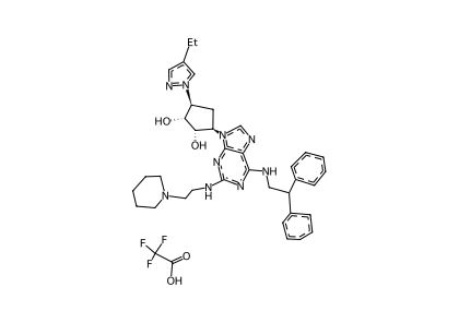 CCc1cnn([C@H]2C[C@@H](n3cnc4c(NCC(c5ccccc5)c5ccccc5)nc(NCCN5CCCCC5)nc43)[C@H](O)[C@@H]2O)c1.O=C(O)C(F)(F)F